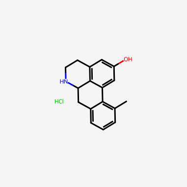 Cc1cccc2c1-c1cc(O)cc3c1C(C2)NCC3.Cl